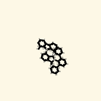 Cc1cccc2c3cccc(C)c3n(-c3cccc4c3C(=O)N(c3c(-c5ccccc5)cccc3-c3ccccc3)C4=O)c12